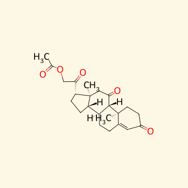 CC(=O)OCC(=O)[C@H]1CC[C@H]2[C@@H]3CCC4=CC(=O)CC[C@]4(C)[C@H]3C(=O)C[C@]12C